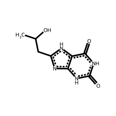 CC(O)Cc1nc2[nH]c(=O)[nH]c(=O)c2[nH]1